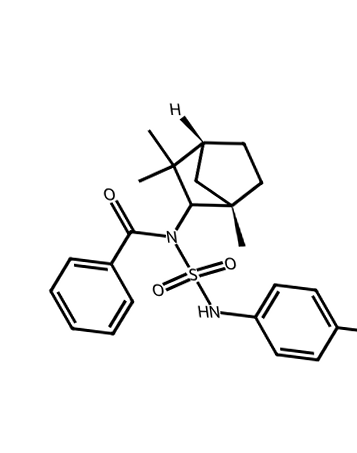 CC1(C)C(N(C(=O)c2ccccc2)S(=O)(=O)Nc2ccc(Br)cc2)[C@@]2(C)CC[C@@H]1C2